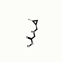 CCOC(=O)CNC[C@@H]1C[C@H]1C